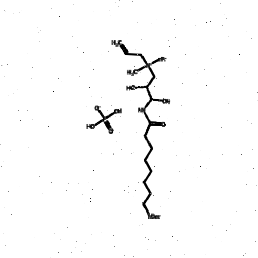 C=CC[N+](C)(CCC)CC(O)C(O)NC(=O)CCCCCCCCCCCCCCCCC.O=P([O-])(O)O